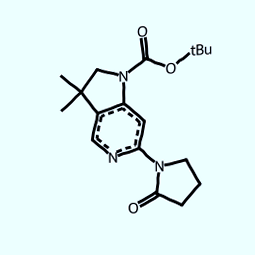 CC(C)(C)OC(=O)N1CC(C)(C)c2cnc(N3CCCC3=O)cc21